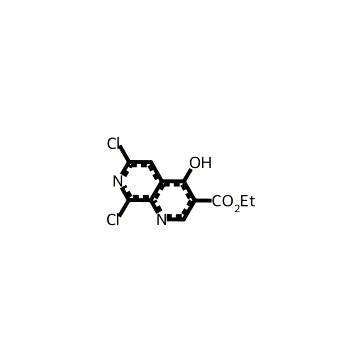 CCOC(=O)c1cnc2c(Cl)nc(Cl)cc2c1O